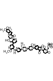 COc1ncc(-c2ccnc(N3CCn4c(cc5c4CC(C)(C)C5)C3=O)c2CO)cc1Nc1ccc(N2CCN(C3CCN(c4ccc5c(c4)C(=O)N(C4CCC(=O)N(COP(=O)(O)O)C4=O)C5=O)[C@@H](C)C3)C[C@@H]2C)cn1